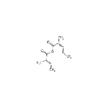 CC=C(C)C(=O)OC(=O)C(C)=CCC(F)(F)F